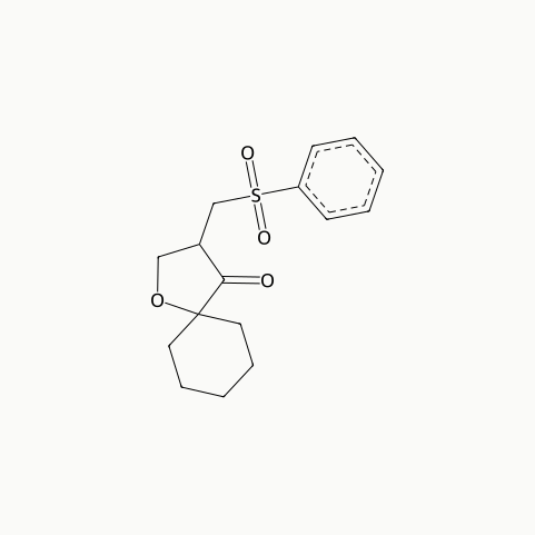 O=C1C(CS(=O)(=O)c2ccccc2)COC12CCCCC2